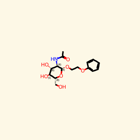 CC(=O)N[C@H]1[C@H](OCCOc2ccccc2)O[C@H](CO)[C@@H](O)[C@@H]1O